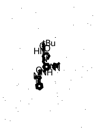 Cc1cn(-c2cc(CN3CCC[C@H](NC(=O)OC(C)(C)C)C3)cc(NC(=O)c3cn(-c4ccccc4)cn3)c2)cn1